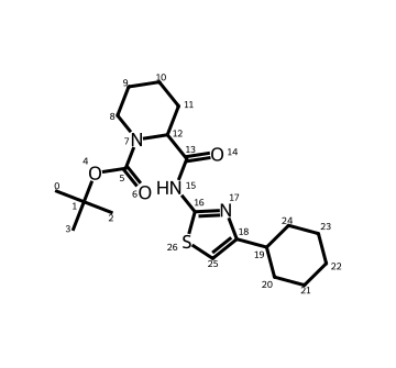 CC(C)(C)OC(=O)N1CCCCC1C(=O)Nc1nc(C2CCCCC2)cs1